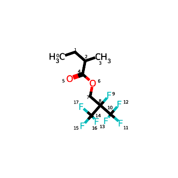 CCC(C)C(=O)OCC(F)(C(F)(F)F)C(F)(F)F